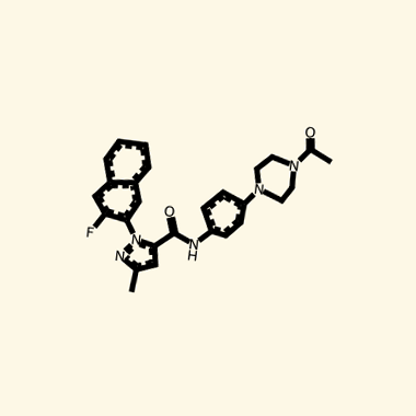 CC(=O)N1CCN(c2ccc(NC(=O)c3cc(C)nn3-c3cc4ccccc4cc3F)cc2)CC1